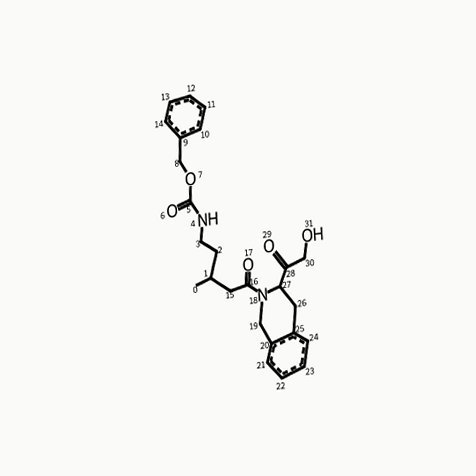 CC(CCNC(=O)OCc1ccccc1)CC(=O)N1Cc2ccccc2CC1C(=O)CO